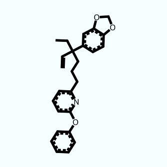 C=CC(CC)(CCCc1cccc(Oc2ccccc2)n1)c1ccc2c(c1)OCO2